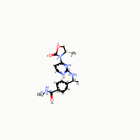 CC(C)[C@H]1COC(=O)N1c1ccnc(N[C@@H](C)c2ccc(C(=O)NC(C)(C)C)cc2)n1